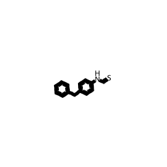 S=CNc1ccc(Cc2ccccc2)cc1